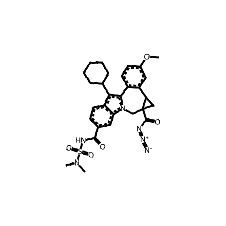 COc1ccc2c(c1)C1CC1(C(=O)N=[N+]=[N-])Cn1c-2c(C2CCCCC2)c2ccc(C(=O)NS(=O)(=O)N(C)C)cc21